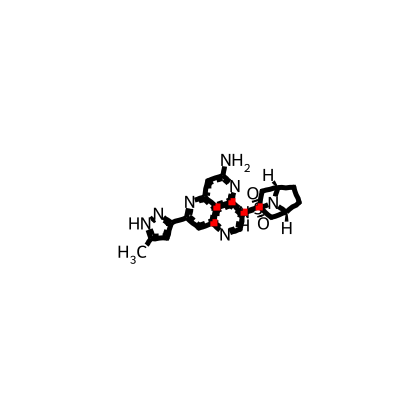 Cc1cc(-c2ccc3c(NC4C[C@H]5CC[C@@H](C4)N5S(=O)(=O)c4cccnc4)nc(N)cc3n2)n[nH]1